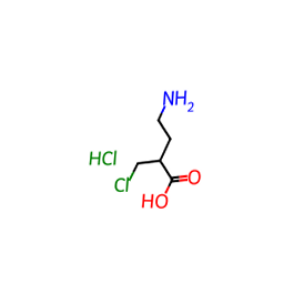 Cl.NCCC(CCl)C(=O)O